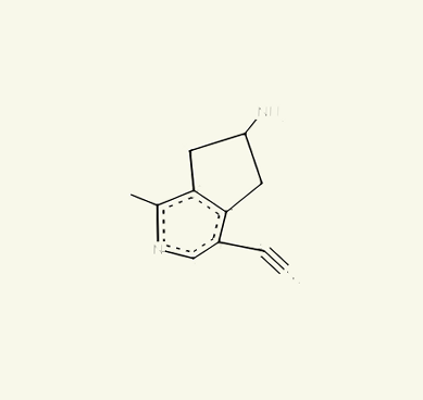 Cc1ncc(C#N)c2c1CC(N)C2